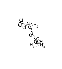 CC(C)(C)OC(=O)CCC(=O)C=CCOC(N)=NOCc1c(Cl)cccc1Cl